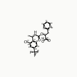 CC(NC(=O)OC(Cc1ncccn1)C(=O)O)c1ccc(C(F)(F)F)cc1Cl